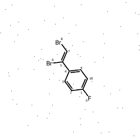 Fc1ccc(C(Br)=CBr)cc1